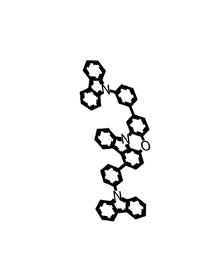 c1cc(-c2ccc3c(c2)-n2c4ccccc4c4c(-c5cccc(-n6c7ccccc7c7ccccc76)c5)ccc(c42)O3)cc(-n2c3ccccc3c3ccccc32)c1